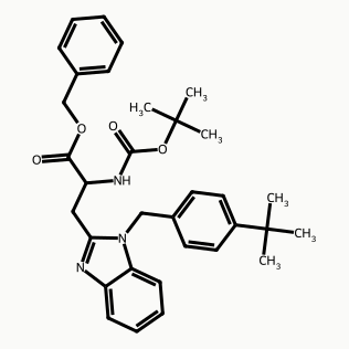 CC(C)(C)OC(=O)NC(Cc1nc2ccccc2n1Cc1ccc(C(C)(C)C)cc1)C(=O)OCc1ccccc1